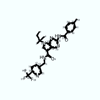 CCC(C)(C)n1cc(C(=O)NCc2ccc(C(F)(F)F)nc2)c2cnc(NC(=O)c3ccc(C)cc3)nc21